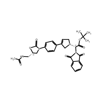 CC(=O)NC[C@H]1CN(c2ccc(C3=CCN([C@H](C(=O)OC(C)(C)C)N4C(=O)c5ccccc5C4=O)C3)cc2)C(=O)O1